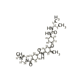 CCC(CC)NC(=O)Nc1ccc(Oc2ccc(NC(=O)c3ccc(C(=O)N4CCN(CC)CC4)cc3)cc2C)cc1